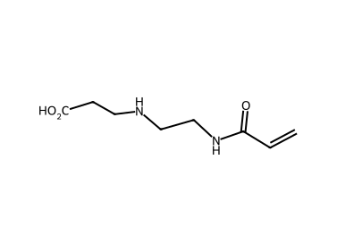 C=CC(=O)NCCNCCC(=O)O